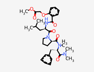 COC(=O)COc1ccccc1C(=O)N[C@H](CC(C)C)C(=O)N1CCC[C@@H]1C(=O)N(C)[C@@H](Cc1ccccc1)C(=O)N(C)C